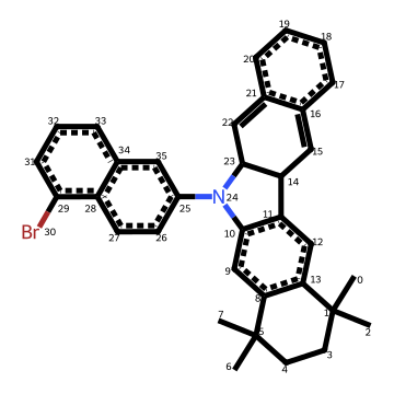 CC1(C)CCC(C)(C)c2cc3c(cc21)C1C=c2ccccc2=CC1N3c1ccc2c(Br)cccc2c1